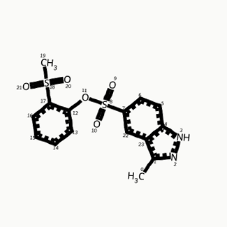 Cc1n[nH]c2ccc(S(=O)(=O)Oc3ccccc3S(C)(=O)=O)cc12